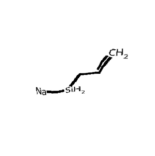 C=CC[SiH2][Na]